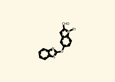 CCn1c(C=O)cc2cc(Oc3nc4ccccc4s3)ccc21